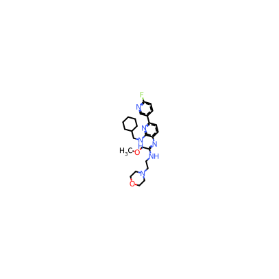 COC/C(=N\c1ccc(-c2ccc(F)nc2)nc1NCC1CCCCC1)NCCN1CCOCC1